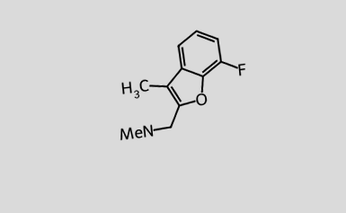 CNCc1oc2c(F)cccc2c1C